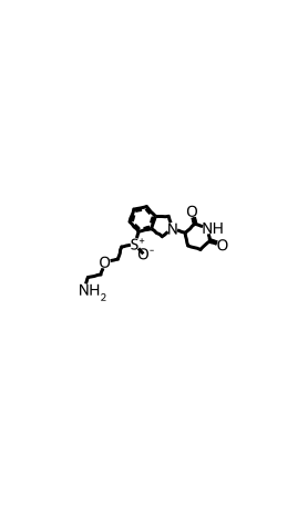 NCCOCC[S+]([O-])c1cccc2c1CN(C1CCC(=O)NC1=O)C2